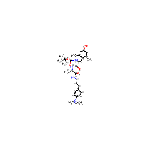 Cc1cc(O)cc(C)c1C[C@H](NC(=O)OC(C)(C)C)C(=O)N[C@H](C)C(=O)NCCCc1ccc(N(C)C)cc1